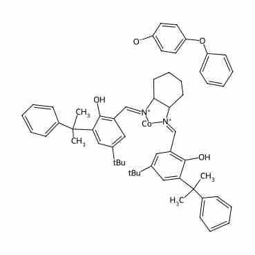 CC(C)(C)c1cc(C=[N+]2[Co][N+](=Cc3cc(C(C)(C)C)cc(C(C)(C)c4ccccc4)c3O)C3CCCCC32)c(O)c(C(C)(C)c2ccccc2)c1.[O-]c1ccc(Oc2ccccc2)cc1